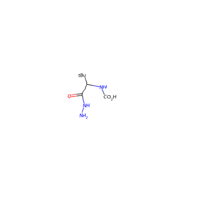 CC(C)(C)C(NC(=O)O)C(=O)NN